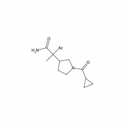 CC(=O)C(C)(C(N)=O)C1CCN(C(=O)C2CC2)C1